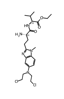 CCOC(=O)[C@@H](NC(=O)[C@@H](N)CCc1nc2cc(N(CCCl)CCCl)ccc2n1C)C(C)C